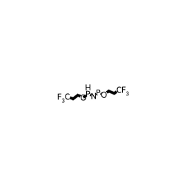 FC(F)(F)CCOP=NPOCCC(F)(F)F